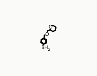 Bc1ccc(COCC2CCCCO2)cc1